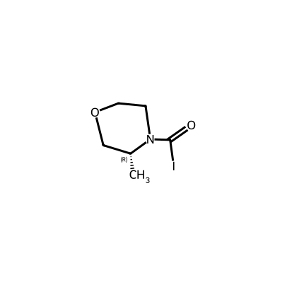 C[C@@H]1COCCN1C(=O)I